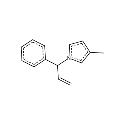 C=CC(c1ccccc1)n1ccc(C)c1